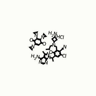 Cc1nn(C(C)c2cc(Cl)c(C#N)c3c2OC(C)CN(C2CC(N)C2)C3)c2ncnc(N)c12.Cl.O=C1C=C(N2CC2)C(=O)C(N2CC2)=C1N1CC1